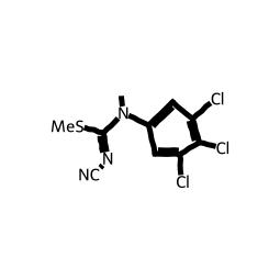 CSC(=NC#N)N(C)c1cc(Cl)c(Cl)c(Cl)c1